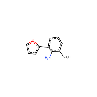 Nc1c(-c2ccco2)cccc1S(=O)(=O)O